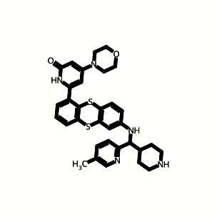 Cc1ccc(C(Nc2ccc3c(c2)Sc2cccc(-c4cc(N5CCOCC5)cc(=O)[nH]4)c2S3)C2CCNCC2)nc1